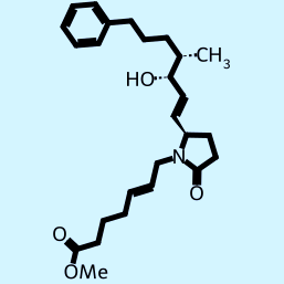 COC(=O)CCCC=CCN1C(=O)CC[C@@H]1C=C[C@H](O)[C@@H](C)CCCc1ccccc1